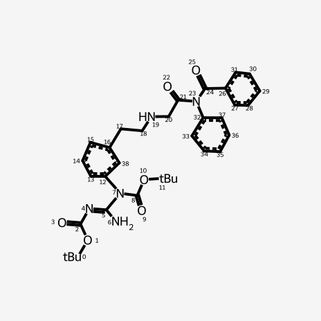 CC(C)(C)OC(=O)N=C(N)N(C(=O)OC(C)(C)C)c1cccc(CCNCC(=O)N(C(=O)c2ccccc2)c2ccccc2)c1